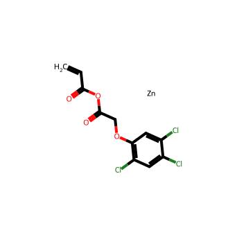 C=CC(=O)OC(=O)COc1cc(Cl)c(Cl)cc1Cl.[Zn]